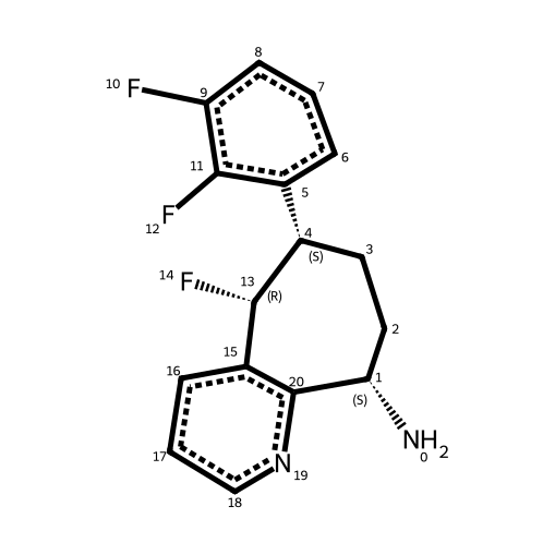 N[C@H]1CC[C@@H](c2cccc(F)c2F)[C@@H](F)c2cccnc21